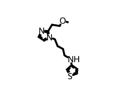 COCCc1nccn1CCCCNc1ccsc1